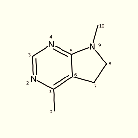 Cc1ncnc2c1CCN2C